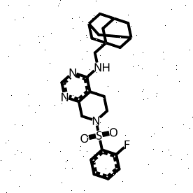 O=S(=O)(c1ccccc1F)N1CCc2c(ncnc2NCC23CC4CC(CC(C4)C2)C3)C1